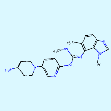 C=N/C(=N\c1c(C)ccc2ncn(C(C)C)c12)Nc1ccc(N2CCC(N)CC2)cn1